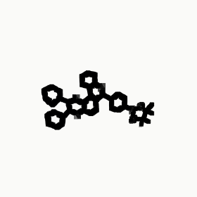 CC1(C)OB(c2ccc(-c3nc4ccccc4c4c3ccc3nc(-c5ccccc5)c(-c5ccccc5)nc34)cc2)OC1(C)C